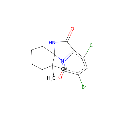 CC1(C)CCCCC12NC(=O)c1c(Cl)cc(Br)c(=O)n12